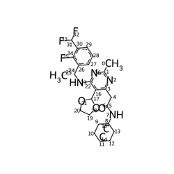 Cc1nc(CC(=O)NC23CCC(CC2)CC3)c(C2OCCO2)c(N[C@H](C)c2cccc(C(F)F)c2F)n1